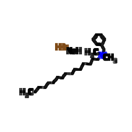 Br.CCCCCCCCCCCCCCCC[N+](C)(C)Cc1ccccc1.[NaH]